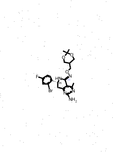 Cc1nc(N)nc2c1/C(=N/OCC1COC(C)(C)OC1)N[C@@H](c1ccc(F)cc1Br)C2